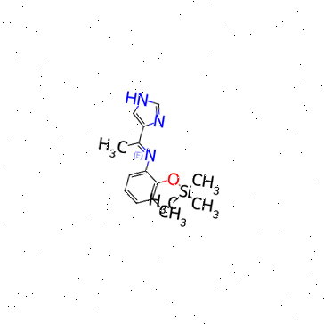 C/C(=N\c1cccc(C)c1O[Si](C)(C)C)c1c[nH]cn1